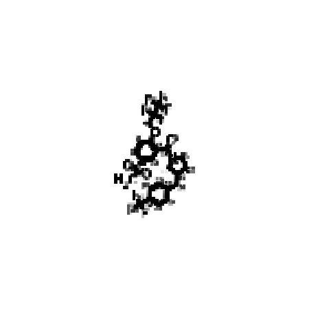 CS(=O)(=O)c1ccc(OCC(F)(F)C(F)(F)F)c(C(=O)N2CCC(Cc3ccc(C(F)(F)F)cc3)C2)c1